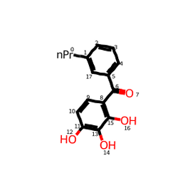 CCCc1cccc(C(=O)c2ccc(O)c(O)c2O)c1